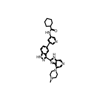 CN1CCN(c2cncc3[nH]c(-c4n[nH]c5ccc(-c6cncc(NC(=O)C7CCCCC7)c6)cc45)nc23)CC1